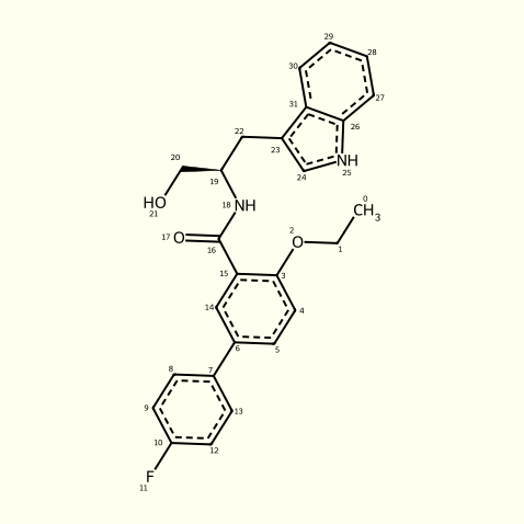 CCOc1ccc(-c2ccc(F)cc2)cc1C(=O)N[C@@H](CO)Cc1c[nH]c2ccccc12